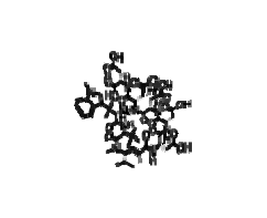 CN[C@H](C(=O)N[C@H](C(=O)N(C)[C@H](/C=C(\C)C(=O)N[C@@H](CC(=O)O)C(=O)N[C@@H](CC(=O)O)C(=O)N[C@@H](CC(=O)O)C(=O)N[C@@H](CC(=O)O)C(=O)N[C@@H](CC(=O)O)C(=O)O)C(C)C)C(C)(C)C)C(C)(C)c1cn(C)c2ccccc12